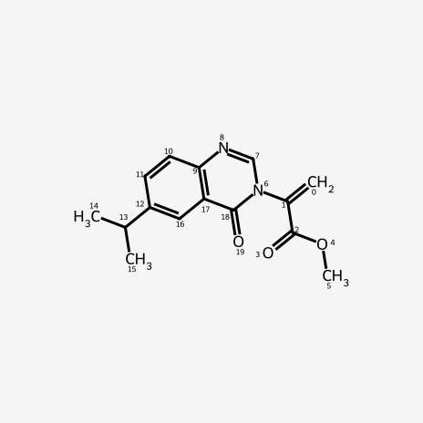 C=C(C(=O)OC)n1cnc2ccc(C(C)C)cc2c1=O